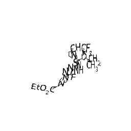 C=C(C)c1cc(-c2nc(Nc3ncnc(N4CCN(CCC(=O)OCC)CC4)c3F)sc2CN2CCC[C@H]2C)cc(C(F)(F)F)c1